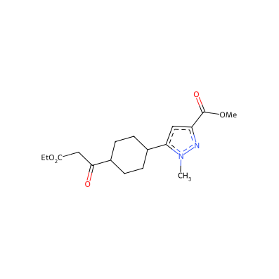 CCOC(=O)CC(=O)C1CCC(c2cc(C(=O)OC)nn2C)CC1